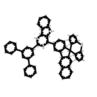 c1ccc(-c2cc(-c3ccccc3)cc(-c3nc(-c4ccc5c(c4)-c4cc6ccccc6cc4C54c5ccccc5Oc5ccccc54)c4sc5ccccc5c4n3)c2)cc1